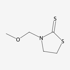 COCN1CCSC1=S